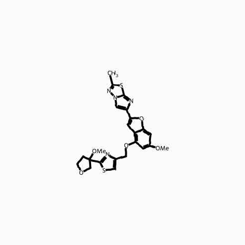 COc1cc(OCc2csc(C3(OC)CCOC3)n2)c2cc(-c3cn4nc(C)sc4n3)oc2c1